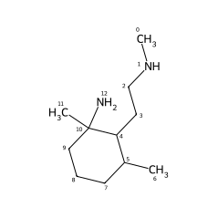 CNCCC1C(C)CCCC1(C)N